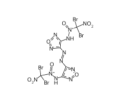 O=[N+]([O-])C(Br)(Br)[N+](=O)Nc1nonc1N=Nc1nonc1N[N+](=O)C(Br)(Br)[N+](=O)[O-]